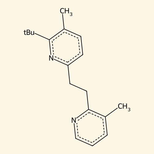 Cc1cccnc1CCc1ccc(C)c(C(C)(C)C)n1